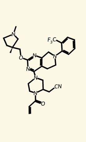 C=CC(=O)N1CCN(c2nc(OC[C@]3(C)CCN(C)C3)nc3c2CCN(c2ccccc2C(F)(F)F)C3)CC1CC#N